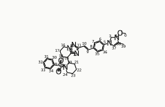 CON1CN(c2ccc(C=Cc3nc4n(n3)CCCC4C3CCCCN3S(=O)(=O)c3ccccc3)cc2)C=C1C